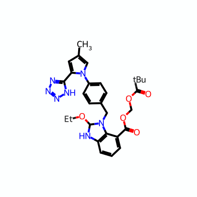 CCOC1Nc2cccc(C(=O)OCOC(=O)C(C)(C)C)c2N1Cc1ccc(-n2cc(C)cc2-c2nnn[nH]2)cc1